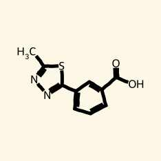 Cc1nnc(-c2cccc(C(=O)O)c2)s1